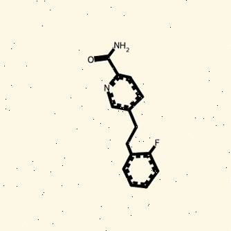 NC(=O)c1ccc(CCc2ccccc2F)cn1